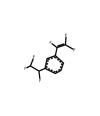 FC(F)=C(F)c1cccc(C(F)C(F)F)c1